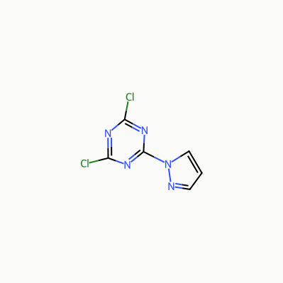 Clc1nc(Cl)nc(-n2cccn2)n1